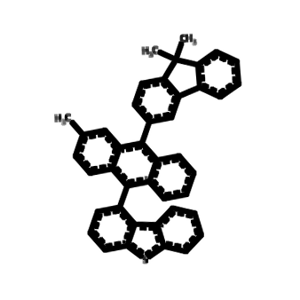 Cc1ccc2c(-c3cccc4sc5ccccc5c34)c3ccccc3c(-c3ccc4c(c3)-c3ccccc3C4(C)C)c2c1